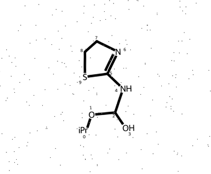 CC(C)OC(O)NC1=NCCS1